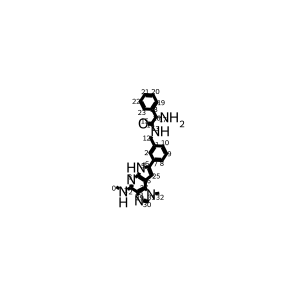 CNc1nc2[nH]c(-c3cccc(CNC(=O)[C@@H](N)c4ccccc4)c3)cc2c2c1ncn2C